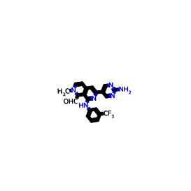 CN1C=Cc2cc(-c3cnc(N)nc3)nc(Nc3cccc(C(F)(F)F)c3)c2C1C=O